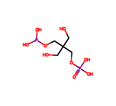 O=P(O)(O)OCC(CO)(CO)COP(O)O